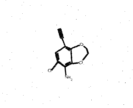 C#Cc1cc(Cl)c(N)c2c1OCO2